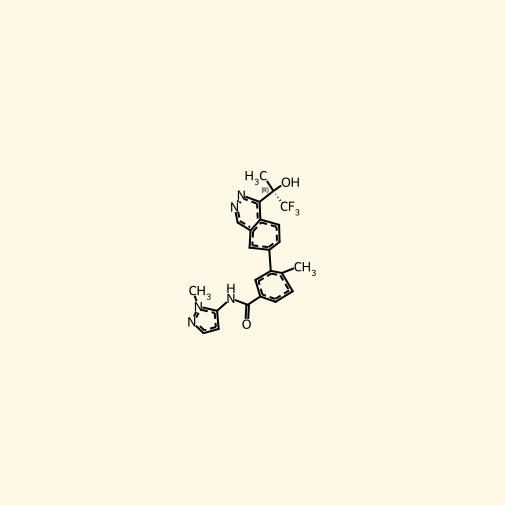 Cc1ccc(C(=O)Nc2ccnn2C)cc1-c1ccc2c([C@@](C)(O)C(F)(F)F)nncc2c1